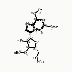 CCCCOC[C@H]1O[C@@H](c2cnc3c(OCC)nc(SC)nn23)[C@H](F)C1OCCCC